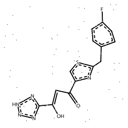 O=C(C=C(O)c1nn[nH]n1)c1csc(Cc2ccc(F)cc2)n1